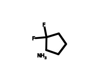 FC1(F)CCCC1.N